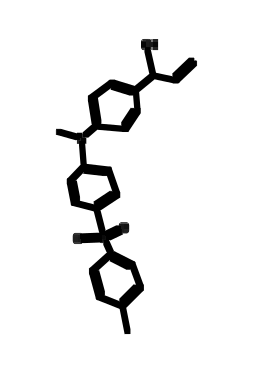 C=CC(O)c1ccc(N(C)c2ccc(S(=O)(=O)c3ccc(C)cc3)cc2)cc1